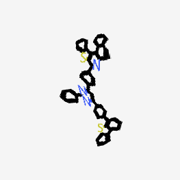 c1ccc(-c2nc(-c3ccc(-c4cccc5c4sc4ccccc45)cc3)cc(-c3ccc(-c4nc5ccc6ccccc6c5c5c4sc4ccccc45)cc3)n2)cc1